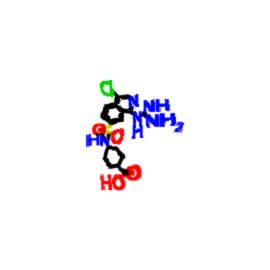 N=C(N)Nc1ncc(Cl)c2ccc(S(=O)(=O)N[C@H]3CC[C@H](C(=O)O)CC3)cc12